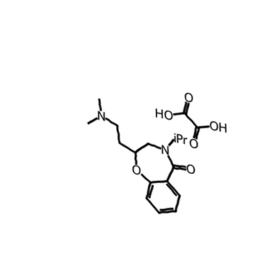 CC(C)N1CC(CCN(C)C)Oc2ccccc2C1=O.O=C(O)C(=O)O